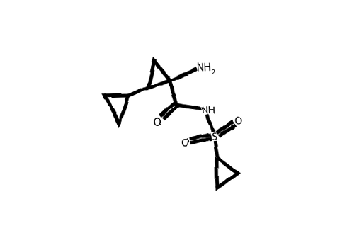 NC1(C(=O)NS(=O)(=O)C2CC2)CC1C1CC1